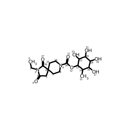 CCN1C(=O)CC2(CCN(C(=O)OC3C(C)C(O)C(O)C(O)C3O)CC2)C1=O